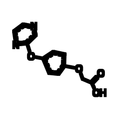 O=C(O)COc1ccc(Oc2cnccn2)cc1